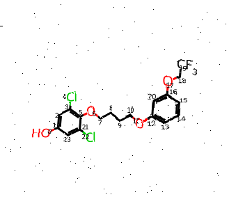 Oc1cc(Cl)c(OCCCCOc2cccc(OCC(F)(F)F)c2)c(Cl)c1